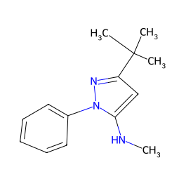 CNc1cc(C(C)(C)C)nn1-c1ccccc1